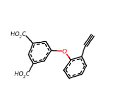 C#Cc1ccccc1Oc1cc(C(=O)O)cc(C(=O)O)c1